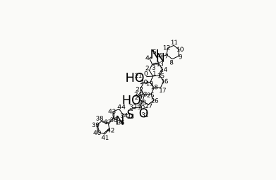 CC12Cc3cnn(C4CCCCC4)c3C=C1CCC1C2[C@@H](O)CC2(C)C1CC[C@]2(O)C(=O)CSC1=NC(c2ccccc2)=CC1